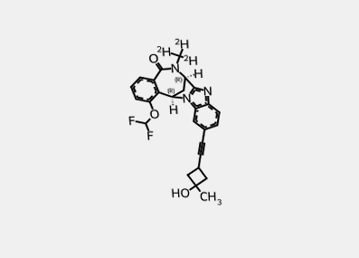 [2H]C([2H])([2H])N1C(=O)c2cccc(OC(F)F)c2[C@H]2C[C@@H]1c1nc3ccc(C#CC4CC(C)(O)C4)cc3n12